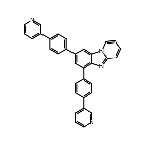 c1cncc(-c2ccc(-c3cc(-c4ccc(-c5cccnc5)cc4)c4nc5ccccn5c4c3)cc2)c1